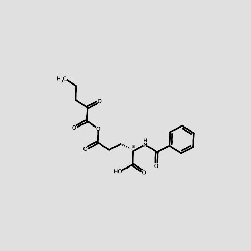 CCCC(=O)C(=O)OC(=O)CC[C@H](NC(=O)c1ccccc1)C(=O)O